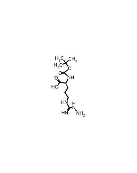 CC(C)(C)OC(=O)N[C@@H](CCCNC(=N)NN)C(=O)O